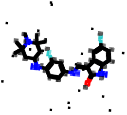 CN1C(C)(C)CC(Nc2ccc(NC=C3C(=O)Nc4ccc(F)cc43)cc2F)CC1(C)C